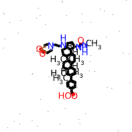 CNC(=O)N[C@@H]1CC[C@]2(NCCN3CCS(=O)(=O)CC3)CC[C@]3(C)[C@H](CC[C@@H]4[C@@]5(C)CC=C(c6ccc(C(=O)O)cc6)C(C)(C)[C@@H]5CC[C@]43C)[C@@H]12